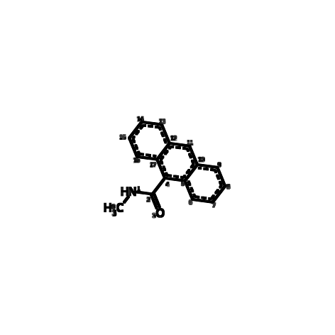 CNC(=O)c1c2ccccc2cc2ccccc12